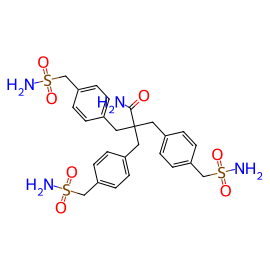 NC(=O)C(Cc1ccc(CS(N)(=O)=O)cc1)(Cc1ccc(CS(N)(=O)=O)cc1)Cc1ccc(CS(N)(=O)=O)cc1